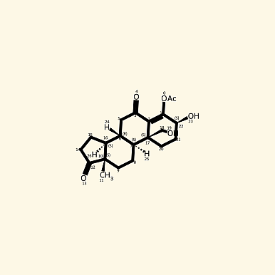 CC(=O)OC1=C2C(=O)C[C@@H]3[C@H](CC[C@]4(C)C(=O)CC[C@@H]34)[C@@]2(CO)CC[C@@H]1O